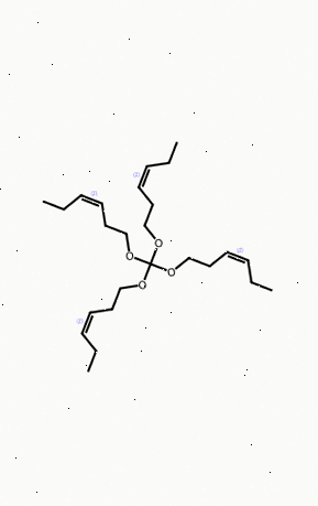 CC/C=C\CCOC(OCC/C=C\CC)(OCC/C=C\CC)OCC/C=C\CC